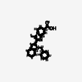 Cc1c(-c2cc3ccccc3n2Cc2cnccn2)nc2cc(C(=O)O)ccn12